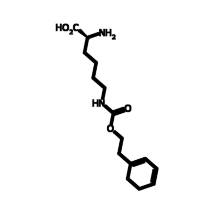 N[C@@H](CCCCNC(=O)OCCC1=CC=CCC1)C(=O)O